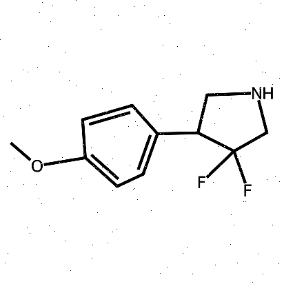 COc1ccc(C2CNCC2(F)F)cc1